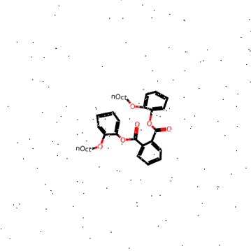 CCCCCCCCOc1ccccc1OC(=O)c1ccccc1C(=O)Oc1ccccc1OCCCCCCCC